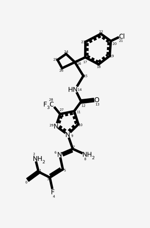 C=C(N)/C(F)=C\N=C(/N)n1cc(C(=O)NCC2(c3ccc(Cl)cc3)CCC2)c(C(F)(F)F)n1